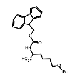 CC(C)(C)OCCCCC(NC(=O)OCC1c2ccccc2-c2ccccc21)C(=O)O